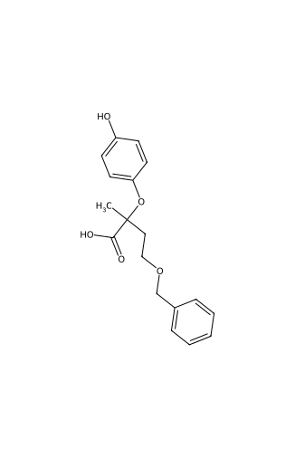 CC(CCOCc1ccccc1)(Oc1ccc(O)cc1)C(=O)O